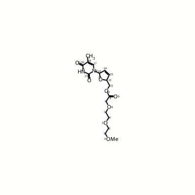 COCCOCCOCC(=O)OCC1C=CC(n2cc(C)c(=O)[nH]c2=O)O1